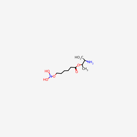 CC(OC(=O)CCCCCON(O)O)C(N)C(=O)O